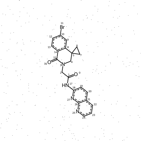 O=C(CN1CC2(CC2)c2cc(Br)ccc2C1=O)Nc1ccc2cccnc2n1